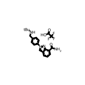 CC(C)(C)NCc1ccc(-n2cc3cccc(C(N)=O)c3n2)cc1.O=C(O)C(F)(F)F